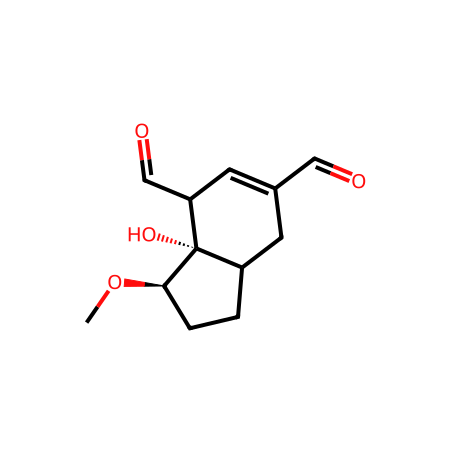 CO[C@@H]1CCC2CC(C=O)=CC(C=O)[C@@]21O